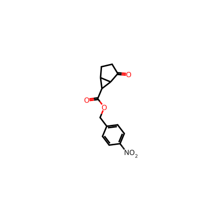 O=C1CCC2C1C2C(=O)OCc1ccc([N+](=O)[O-])cc1